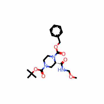 COCNC(=O)[C@@H]1CN(C(=O)OC(C)(C)C)CCN1C(=O)OCc1ccccc1